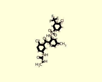 CNC(=O)Nc1ccc(Cl)c(C(=O)c2ncc(C)cc2NS(=O)(=O)c2ccc(Cl)c(C(F)(F)F)c2)c1